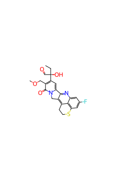 CC[C@@](O)(C=O)c1cc2n(c(=O)c1COC)Cc1c-2nc2cc(F)cc3c2c1CCS3